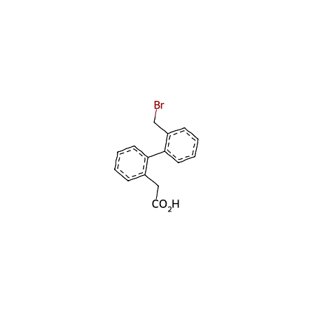 O=C(O)Cc1ccccc1-c1ccccc1CBr